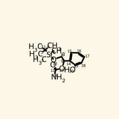 CC(C)(C)[Si](C)(C)OCC(OC(N)=O)c1ccccc1O